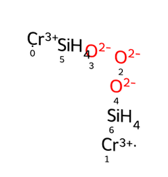 [Cr+3].[Cr+3].[O-2].[O-2].[O-2].[SiH4].[SiH4]